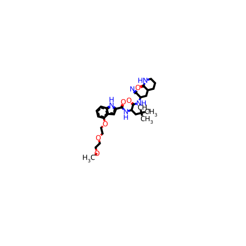 COCCOCCOc1cccc2[nH]c(C(=O)NC(CC(C)(C)C)C(=O)NC(C#N)CC3CCCNC3=O)cc12